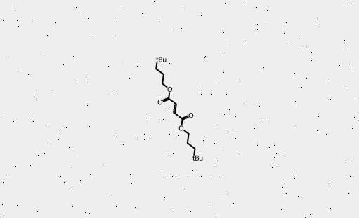 CC(C)(C)CCCOC(=O)/C=C/C(=O)OCCCC(C)(C)C